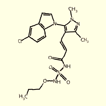 CCCONS(=O)(=O)NC(=O)C=Cc1c(C)nn(C)c1-n1ccc2cc(Cl)ccc21